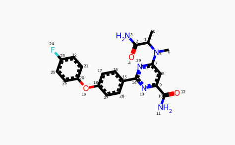 CC(C(N)=O)N(C)c1cc(C(N)=O)nc(-c2ccc(Oc3ccc(F)cc3)cc2)n1